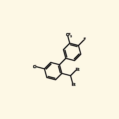 CCC(CC)c1ccc(Cl)cc1-c1ccc(F)c(C(F)(F)F)c1